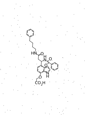 O=C(O)COc1ccc(C(CC(=O)NCCCCc2ccccc2)NS(=O)(=O)c2ccccc2)c2cc[nH]c12